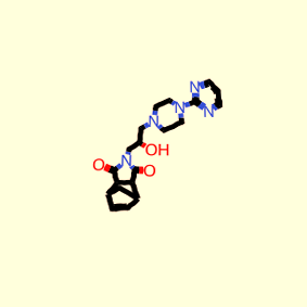 O=C1C2C3C=CC(C3)C2C(=O)N1CC(O)CN1CCN(c2ncccn2)CC1